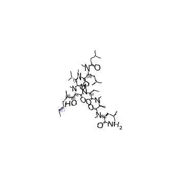 C=C(C(=O)N(C)[C@@H](CC(C)C)C(N)=O)N(C)C(=O)[C@H](CC)NC(=O)[C@H]([C@H](O)[C@H](C)C/C=C/C)N(C)C(=O)[C@H](C(C)C)N(C)C(=O)[C@H](CC(C)C)N(C)C(=O)CC(C)C